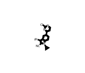 CC(C)c1c(C#N)n(C2CC2)c2ccc(-c3ccnc(Cl)n3)cc12